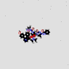 COc1ccc(-c2cccc(COC[C@@]34CN(C(=O)NC(C)C)[C@@H]([C@H](n5cc(C)c(NC(=O)c6ccccc6)nc5=O)O3)[C@@H]4OP(OCCC#N)N(C(C)C)C(C)C)c2-c2ccc(OC)cc2)cc1